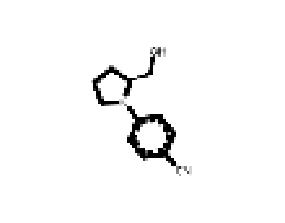 N#Cc1ccc(N2CCC[C@H]2CO)cc1